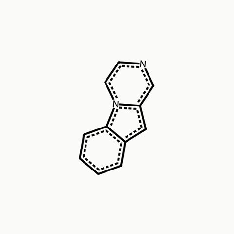 c1ccc2c(c1)cc1cnccn12